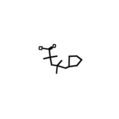 CC(C)(CC1CCCC1)CC(C)(C)C(=O)Cl